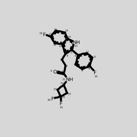 O=C(CCc1c(-c2ccc(F)cc2)[nH]c2ccc(F)cc12)NC1CC(F)(F)C1